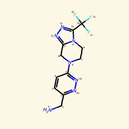 NCc1ccc(N2CCn3c(nnc3C(F)(F)F)C2)nn1